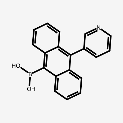 OB(O)c1c2ccccc2c(-c2cccnc2)c2ccccc12